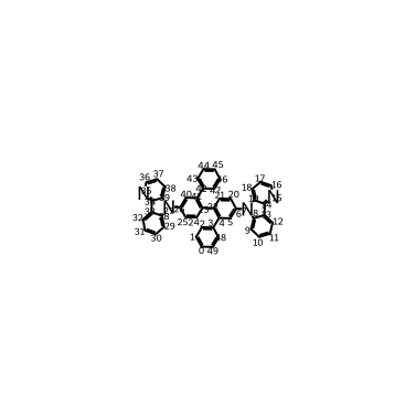 c1ccc(-c2cc(-n3c4ccccc4c4ncccc43)ccc2-c2ccc(-n3c4ccccc4c4ncccc43)cc2-c2ccccc2)cc1